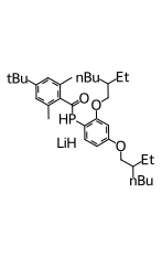 CCCCC(CC)COc1ccc(PC(=O)c2c(C)cc(C(C)(C)C)cc2C)c(OCC(CC)CCCC)c1.[LiH]